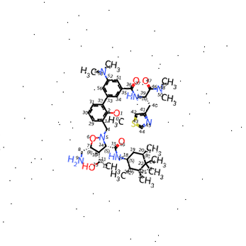 COc1c(CN2O[C@@H](CN)[C@@H]([C@H](C)O)[C@H]2C(=O)N[C@H]2C[C@@H](C)C(C)(C)[C@@H](C)[C@@H]2C)cccc1-c1cc(C(=O)N[C@@H](Cc2cscn2)C(=O)N(C)C)cc(N(C)C)c1